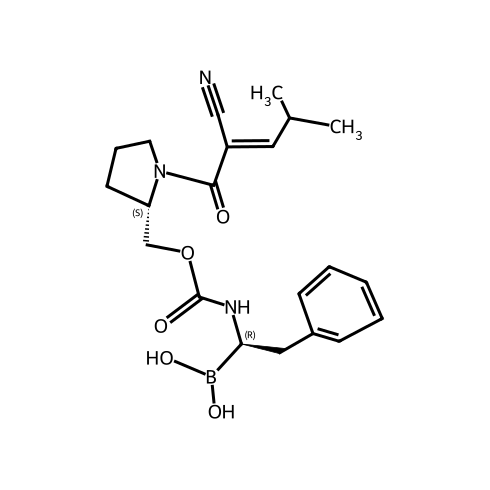 CC(C)C=C(C#N)C(=O)N1CCC[C@H]1COC(=O)N[C@@H](Cc1ccccc1)B(O)O